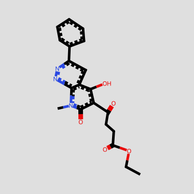 CCOC(=O)CCC(=O)c1c(O)c2cc(-c3ccccc3)nnc2n(C)c1=O